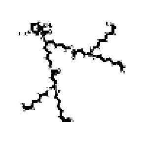 CC/C=C\CCCCOC(CCC(=O)OCCCCC(CCCCOC(=O)CCC(OCCCC/C=C\CC)OCCCC/C=C\CC)OC(=O)C1(C)CCN(C)C1)OCCCC/C=C\CC